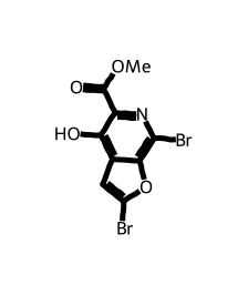 COC(=O)c1nc(Br)c2oc(Br)cc2c1O